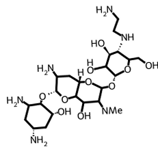 CNC1C(O[C@H]2OC(CO)[C@@H](NCCN)[C@H](O)C2O)O[C@H]2CC(N)[C@@H](O[C@@H]3C(N)C[C@@H](N)C[C@H]3O)OC2C1O